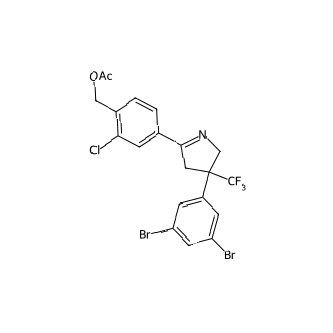 CC(=O)OCc1ccc(C2=NCC(c3cc(Br)cc(Br)c3)(C(F)(F)F)C2)cc1Cl